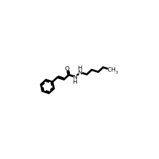 CCCCCNNC(=O)/C=C/c1ccccc1